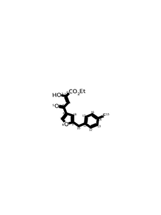 CCOC(=O)/C(O)=C/C(=O)c1coc(Cc2ccc(F)cc2)c1